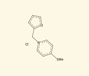 CSc1cc[n+](Cc2ccco2)cc1.[Cl-]